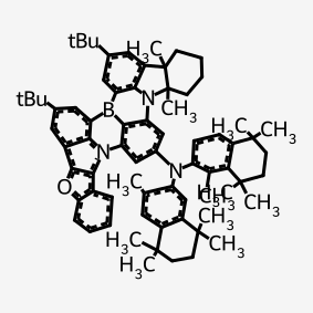 Cc1cc2c(cc1N(c1cc3c4c(c1)-n1c5c(cc(C(C)(C)C)cc5c5oc6ccccc6c51)B4c1cc(C(C)(C)C)cc4c1N3C1(C)CCCCC41C)c1ccc3c(c1C)C(C)(C)CCC3(C)C)C(C)(C)CCC2(C)C